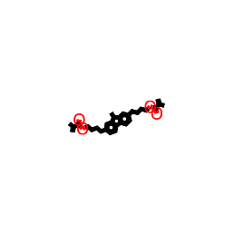 C=C(C)C(=O)OCCCCc1ccc2c(c1)C(C)c1cc(CCCCOC(=O)C(=C)C)ccc1-2